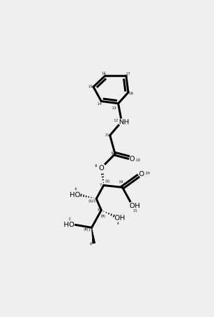 C[C@@H](O)[C@@H](O)[C@H](O)[C@H](OC(=O)CNc1ccccc1)C(=O)O